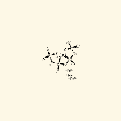 O=P([O-])([O-])OP(=O)([O-])OP(=O)([O-])OP(=O)([O-])[O-].[Fe+2].[Fe+2].[Fe+2]